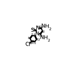 Nc1cc(N)n(-c2ccc(Cl)cc2)c(=S)n1